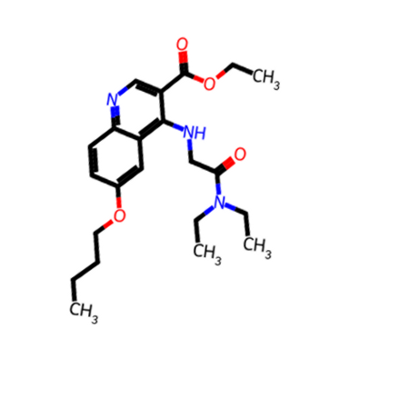 CCCCOc1ccc2ncc(C(=O)OCC)c(NCC(=O)N(CC)CC)c2c1